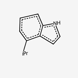 CC(C)c1cccc2[nH]ccc12